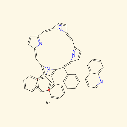 C1=Cc2cc3c(-c4ccccc4)c(-c4ccccc4)c(c(-c4ccccc4)c4nc(cc5ccc(cc1n2)[nH]5)C=C4)n3-c1ccccc1.[V].c1ccc2ncccc2c1